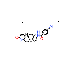 CN1C(=O)C=C[C@@]2(C)C1CC[C@@H]1[C@H]2CC[C@]2(C)C(NC(=O)c3ccc(C#N)cc3)CC[C@@H]12